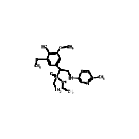 CCNP(=O)(CC)C(CNc1cnc(C)cn1)c1cc(OC)c(O)c(OC)c1